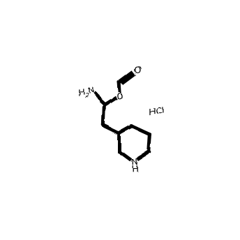 Cl.NC(CC1CCCNC1)OC=O